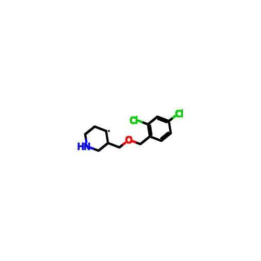 Clc1ccc(COCC2[CH]CCNC2)c(Cl)c1